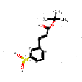 CC(C)(C)OC(=O)/C=C/c1cccc([SH](=O)=O)c1